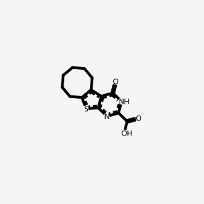 O=C(O)c1nc2sc3c(c2c(=O)[nH]1)CCCCCC3